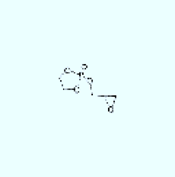 O=P1(OCC2CO2)OCCO1